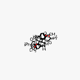 CC(C)[C@@]12SS[C@]3(C(=O)N1C)[C@@H](O)[C@]1([C@]45c6ccccc6N[C@H]4N4C(=O)[C@]6(C(C)C)SS[C@]4(C(=O)N6C)[C@H]5O)c4ccccc4N[C@@H]1N3C2=O